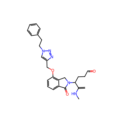 C=C(NC)C(CCC=O)N1Cc2c(OCc3cn(CCc4ccccc4)nn3)cccc2C1=O